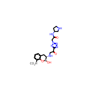 O=C(Cn1nnc(C(=O)CN[C@H]2Cc3cccc(C(=O)O)c3OB2O)n1)N[C@H]1CCNC1